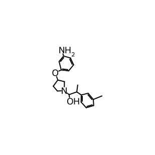 Cc1cccc(C(C)C(O)N2CCC(Oc3cccc(N)c3)C2)c1